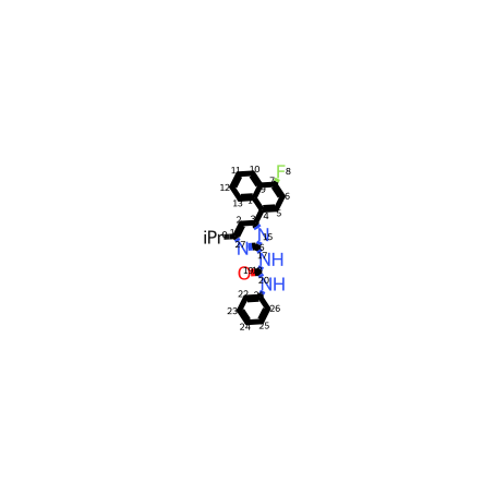 CC(C)c1cc(-c2ccc(F)c3ccccc23)nc(NC(=O)Nc2ccccc2)n1